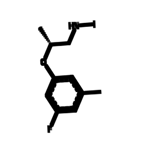 Cc1cc(F)cc(O[C@H](C)CNI)c1